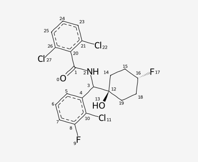 O=C(NC(c1cccc(F)c1Cl)[C@]1(O)CC[C@H](F)CC1)c1c(Cl)cccc1Cl